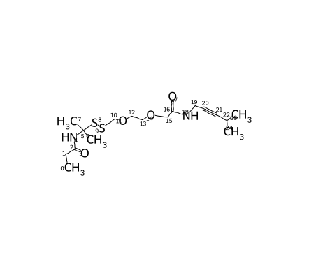 CCC(=O)NC(C)(C)SSCOCCOCC(=O)NCC#CC(C)C